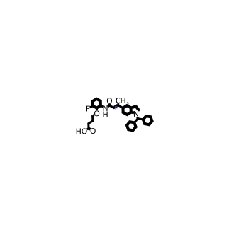 C/C(=C\C(=O)Nc1cccc(F)c1OCCCC(=O)O)c1ccc2c(ccn2C(c2ccccc2)c2ccccc2)c1